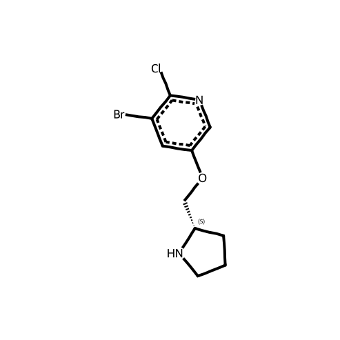 Clc1ncc(OC[C@@H]2CCCN2)cc1Br